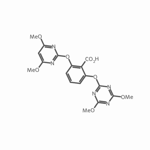 COc1cc(OC)nc(Oc2cccc(Oc3nc(OC)nc(OC)n3)c2C(=O)O)n1